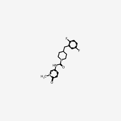 Cn1cc(NC(=O)N2CCC(Cc3cc(F)ccc3F)CC2)ccc1=O